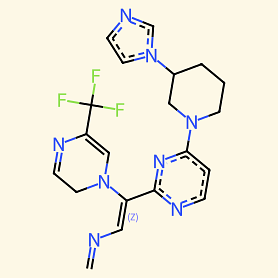 C=N/C=C(/c1nccc(N2CCCC(n3ccnc3)C2)n1)N1C=C(C(F)(F)F)N=CC1